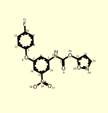 O=C(Nc1cc(Oc2ccc(F)cc2)cc([N+](=O)[O-])c1)Oc1ccno1